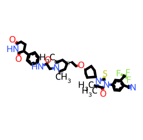 C[C@@H]1C[C@@H](CCO[C@H]2CC[C@H](N3C(=S)N(c4ccc(C#N)c(C(F)(F)F)c4)C(=O)C3(C)C)CC2)C[C@H](C)N1CC(=O)Nc1ccc(C2CCC(=O)NC2=O)cc1